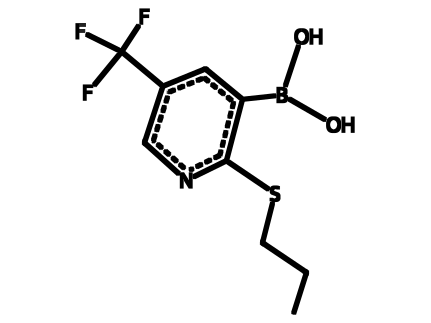 CCCSc1ncc(C(F)(F)F)cc1B(O)O